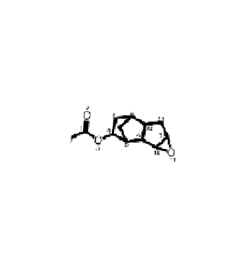 CC(=O)OC1CC2CC1C1C2CC2OC21